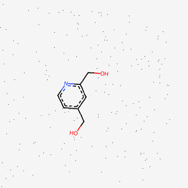 OCc1ccnc(CO)c1